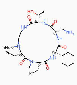 CCCCCCN1CCNC(=O)[C@H]([C@H](C)O)NC(=O)[C@H](CN)NC(=O)[C@H](C2CCCCC2)NC(=O)[C@H](CC(C)C)N(C)C(=O)[C@@H]1CC(C)C